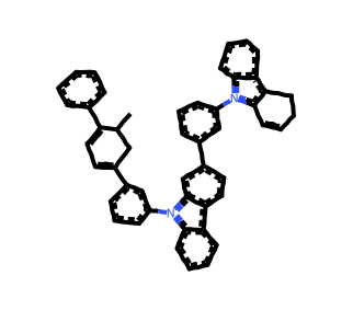 CC1CC(c2cccc(-n3c4ccccc4c4ccc(-c5cccc(-n6c7c(c8ccccc86)CCC=C7)c5)cc43)c2)=CC=C1c1ccccc1